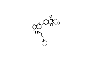 O=C(c1ccc(-c2cc(NCCCN3CCCCC3)c3sccc3n2)cc1Cl)N1CCOCC1